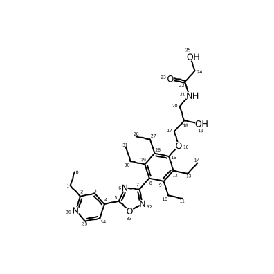 CCc1cc(-c2nc(-c3c(CC)c(CC)c(OCC(O)CNC(=O)CO)c(CC)c3CC)no2)ccn1